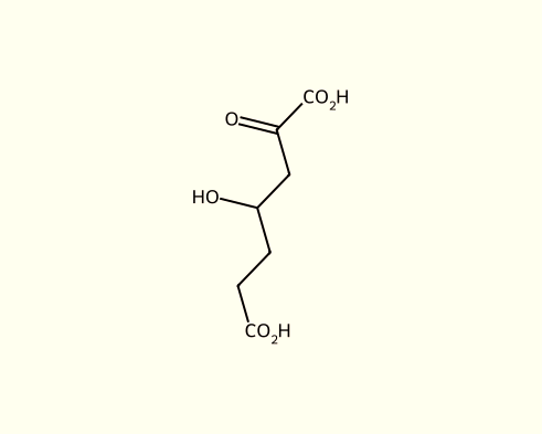 O=C(O)CCC(O)CC(=O)C(=O)O